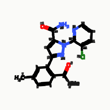 CNC(=O)c1ccc(C)cc1-c1cc(C(N)=O)n(-c2ncccc2Cl)n1